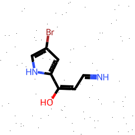 N=C/C=C(/O)c1cc(Br)c[nH]1